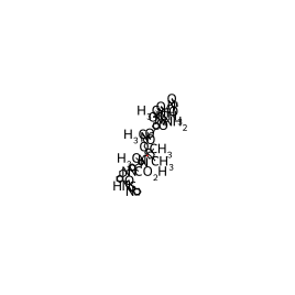 Cc1c(-c2ccc(N3CCc4cccc(C(=O)Nc5nc6ccccc6s5)c4C3)nc2C(=O)O)cnn1CC12CC3(C)CC(C)(C1)CC(OCCN(C)C(=O)OCc1ccc(N(C(=O)[C@H](C)NC(=O)CCN4C(=O)C=CC4=O)[C@@H](C)C(N)=O)cc1)(C3)C2